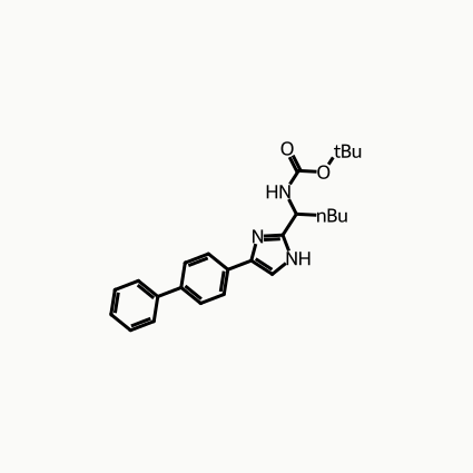 CCCCC(NC(=O)OC(C)(C)C)c1nc(-c2ccc(-c3ccccc3)cc2)c[nH]1